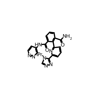 CC(C)n1cnnc1-c1cccc(-c2c(C(N)=O)cccc2C(=O)Nc2ccnnc2)n1